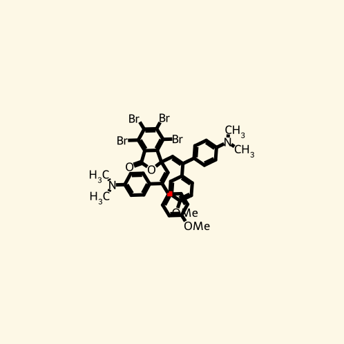 COc1ccc(C(=CC2(C=C(c3ccc(OC)cc3)c3ccc(N(C)C)cc3)OC(=O)c3c(Br)c(Br)c(Br)c(Br)c32)c2ccc(N(C)C)cc2)cc1